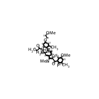 C=CC(=O)Nc1cc(OCCOC)cc(C)c1NC(=C)/C=c1/c(NC)c(C(=O)c2c(F)c(C)cc(OC)c2F)o/c1=C/C